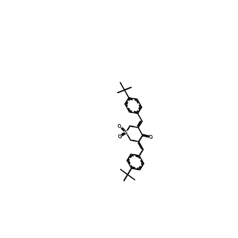 CC(C)(C)c1ccc(/C=C2\CS(=O)(=O)C/C(=C\c3ccc(C(C)(C)C)cc3)C2=O)cc1